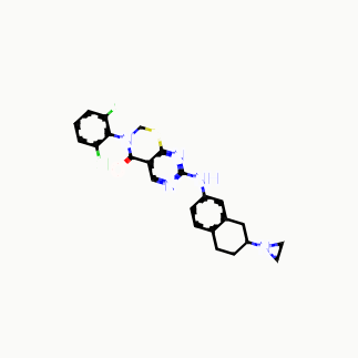 O=C1c2cnc(Nc3ccc4c(c3)CC(N3CC3)CC4)nc2SCN1c1c(Cl)cccc1Cl